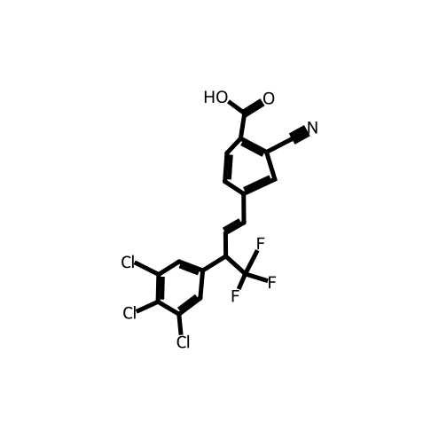 N#Cc1cc(C=CC(c2cc(Cl)c(Cl)c(Cl)c2)C(F)(F)F)ccc1C(=O)O